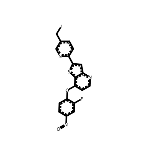 O=Nc1ccc(Oc2ccnc3cc(-c4ccc(CI)cn4)sc23)c(F)c1